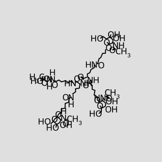 CC(=O)NC1C(OCCCCCC(=O)NCCCCC(NC(=O)CCCCCOC2OC(CO)C(O)C(O)C2NC(C)=O)C(=O)NC(CCCCNC(=O)CCCCCOC2OC(CO)C(O)C(O)C2NC(C)=O)C(=O)NCCCCCC(=O)NNOP(C)(=O)O)OC(CO)C(O)C1O